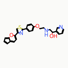 O[C@@H](CNCCOc1ccc(-c2nc(-c3ccc4cccc-4o3)cs2)cc1)c1cccnc1